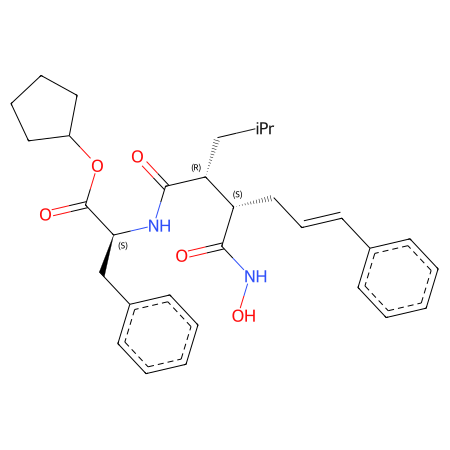 CC(C)C[C@@H](C(=O)N[C@@H](Cc1ccccc1)C(=O)OC1CCCC1)[C@H](CC=Cc1ccccc1)C(=O)NO